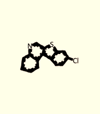 Clc1ccc2c(c1)sc1cnc3ccccc3c12